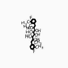 Cc1c(F)ccc(C=C(O)[C@@H](O)[C@@H](O)[C@H](O)[C@@H](O)C(O)=Cc2ccc(F)c(C)c2C)c1C